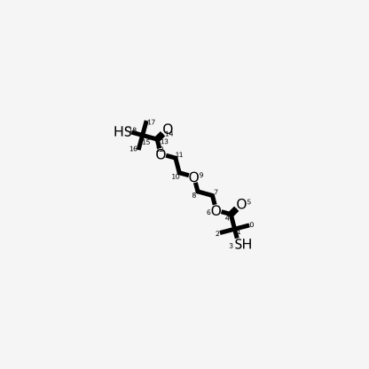 CC(C)(S)C(=O)OCCOCCOC(=O)C(C)(C)S